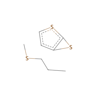 CCCSC.c1cc2c(s1)S2